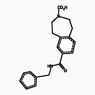 O=C(NCc1ccccc1)c1ccc2c(c1)CCN(C(=O)O)CC2